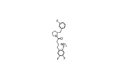 N[C@@H](CC(=O)N1CCC[C@H]1Cc1cccc(F)c1)Cc1cc(F)c(F)cc1F